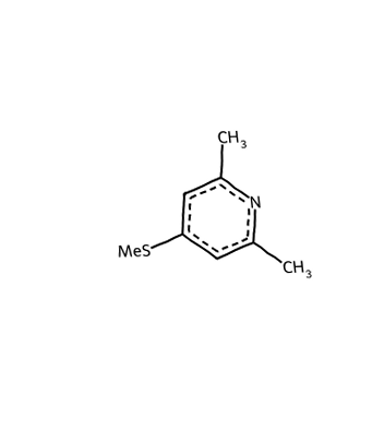 CSc1cc(C)nc(C)c1